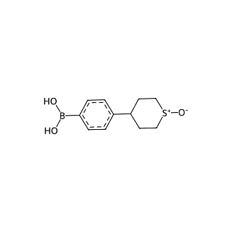 [O-][S+]1CCC(c2ccc(B(O)O)cc2)CC1